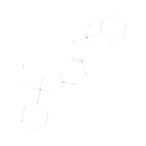 CCC(O)(OC(=O)/C=C\C(=O)OC(O)(CC)C1CCCCC1)C1CCCCC1